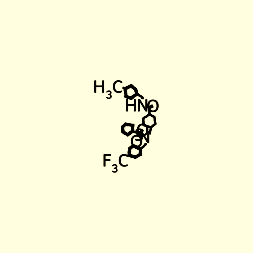 Cc1ccc(CNC(=O)C2CCC(CN(Cc3ccc(C(F)(F)F)cc3)S(=O)(=O)c3ccccc3)CC2)cc1